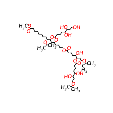 COC(=O)CCCCCCCC(OC(C)C)C(CCCCCCOC(=O)CCCC(O)C(CCOC(C)C)OC(=O)CCCC(O)C(O)CCOC(C)C)OC(=O)CCCC(O)C(O)CCO